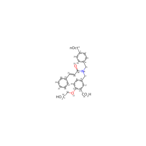 CCCCCCCCc1ccc(CN(Cc2ccc(OCC(=O)O)c(C(=O)O)c2)C(=O)/C=C/c2ccccc2)cc1